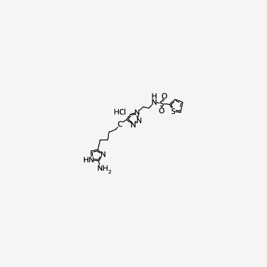 Cl.Nc1nc(CCCCCc2cn(CCNS(=O)(=O)c3cccs3)nn2)c[nH]1